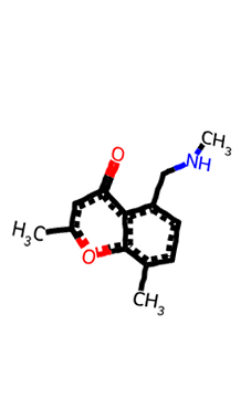 CNCc1ccc(C)c2oc(C)cc(=O)c12